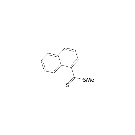 CSC(=S)c1cccc2ccccc12